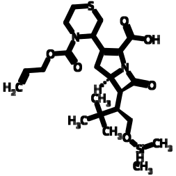 C=CCOC(=O)N1CCSCC1C1=C(C(=O)O)N2C(=O)[C@@H]([C@@H](CO[SiH](C)C)C(C)(C)C)[C@H]2C1